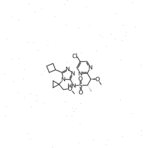 COCC1(n2c(NS(=O)(=O)[C@@H](C)[C@H](OC)c3ncc(Cl)cn3)nnc2C2CCC2)CC1